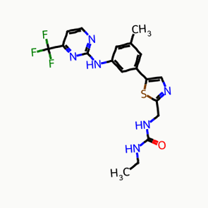 CCNC(=O)NCc1ncc(-c2cc(C)cc(Nc3nccc(C(F)(F)F)n3)c2)s1